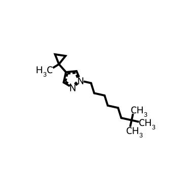 CC(C)(C)CCCCCCn1cc(C2(C)CC2)cn1